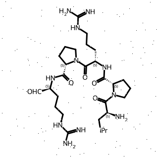 CC(C)C[C@H](N)C(=O)N1CCC[C@H]1C(=O)N[C@@H](CCCNC(=N)N)C(=O)N1CCC[C@H]1C(=O)N[C@H]([C]=O)CCCNC(=N)N